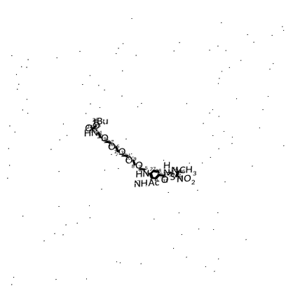 CC(=O)Nc1cc(NCCOCCOCCOCCOCCOCCNC(=O)OC(C)(C)C)ccc1C(=O)Nc1nc(C)c([N+](=O)[O-])s1